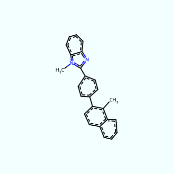 Cc1c(-c2ccc(-c3nc4ccccc4n3C)cc2)ccc2ccccc12